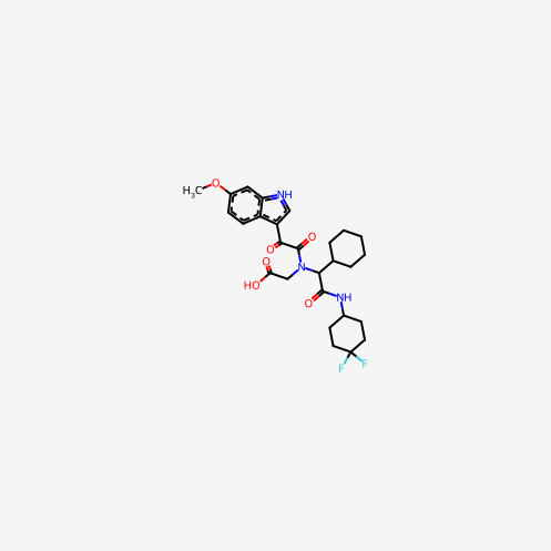 COc1ccc2c(C(=O)C(=O)N(CC(=O)O)C(C(=O)NC3CCC(F)(F)CC3)C3CCCCC3)c[nH]c2c1